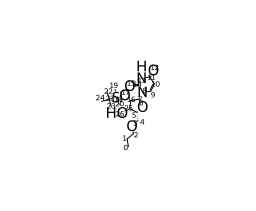 CCCOC[C@H]1O[C@@H](n2ccc(=O)[nH]c2=O)[C@@H](O[Si](C)(C)C(C)(C)C)C1O